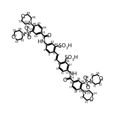 O=C(Nc1ccc(/C=C/c2ccc(NC(=O)c3ccc(N4CCOCC4)c(S(=O)(=O)N4CCOCC4)c3)cc2S(=O)(=O)O)c(S(=O)(=O)O)c1)c1ccc(N2CCOCC2)c(S(=O)(=O)N2CCOCC2)c1